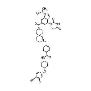 CC(C)n1ccc2c(N3CCC(=O)NC3=O)cc(C(=O)N3CCC4(CCCN(Cc5ccc(C(=O)N[C@H]6CC[C@H](Oc7ccc(C#N)c(Cl)c7)CC6)cc5)C4)CC3)cc21